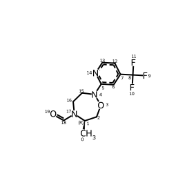 C[C@@H]1CON(c2cc(C(F)(F)F)ccn2)CCN1C=O